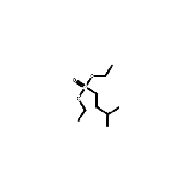 CCOP(=O)(CCC(C)C)OCC